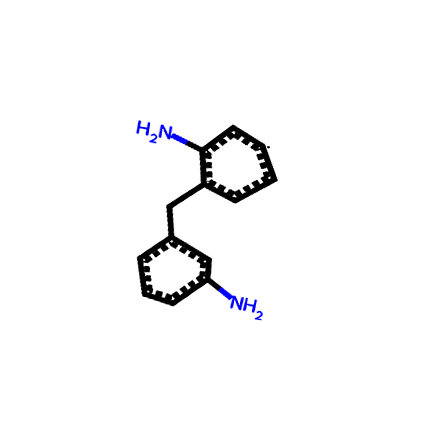 Nc1cccc(Cc2cc[c]cc2N)c1